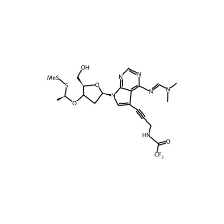 CSS[C@H](C)OC1C[C@H](n2cc(C#CCNC(=O)C(F)(F)F)c3c(/N=C/N(C)C)ncnc32)O[C@@H]1CO